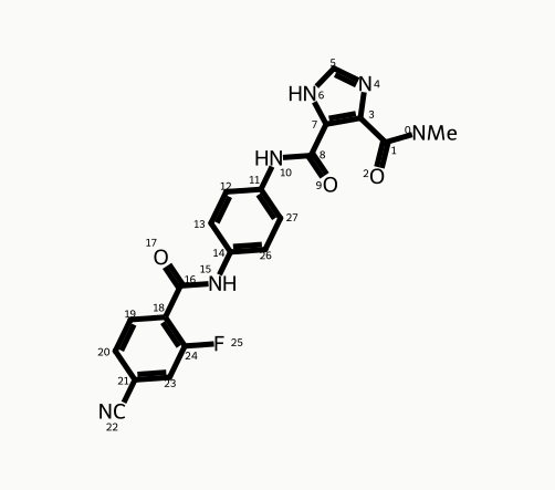 CNC(=O)c1nc[nH]c1C(=O)Nc1ccc(NC(=O)c2ccc(C#N)cc2F)cc1